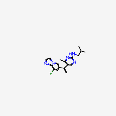 C=C(c1cc(F)c2nccn2c1)c1cnc(NCC(C)C)nc1C